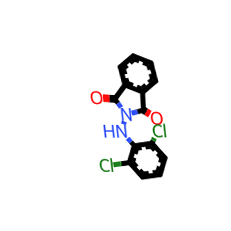 O=C1c2ccccc2C(=O)N1Nc1c(Cl)cccc1Cl